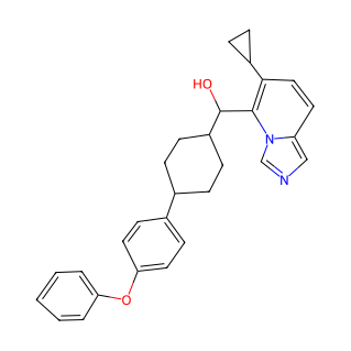 OC(c1c(C2CC2)ccc2cncn12)C1CCC(c2ccc(Oc3ccccc3)cc2)CC1